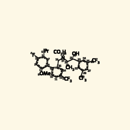 COc1cc(F)c(C(C)C)cc1-c1ccc(C(F)(F)F)cc1CN(C(=O)O)[C@@H](C)[C@H](O)c1cc(C(F)(F)F)cc(C(F)(F)F)c1